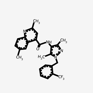 Cc1ccc2nc(C)cc(C(=O)Nc3c(C)nn(Cc4ccccc4C(F)(F)F)c3C)c2c1